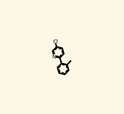 Cc1ccccc1-c1ccc(Cl)cn1